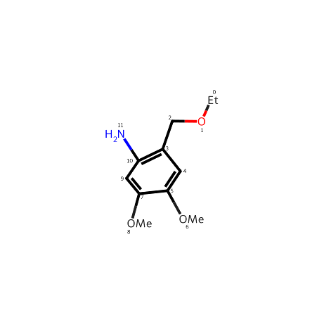 CCOCc1cc(OC)c(OC)cc1N